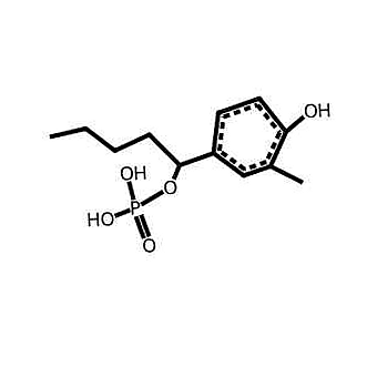 CCCCC(OP(=O)(O)O)c1ccc(O)c(C)c1